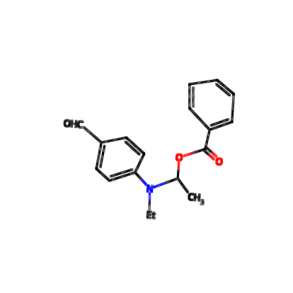 CCN(c1ccc(C=O)cc1)C(C)OC(=O)c1ccccc1